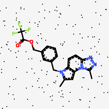 Cc1cc2c(ccc3nnc(C)n32)n1Cc1cccc(COC(=O)C(F)(F)F)c1